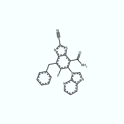 N#Cc1nc2c(Cc3ccccc3)c(F)c(-n3cnc4cccnc43)c(C(N)=O)c2s1